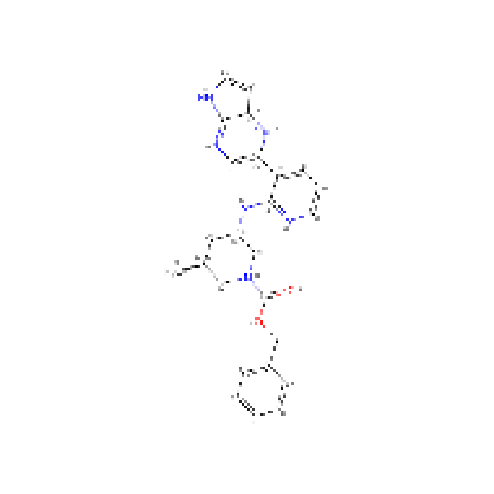 O=C(OCc1ccccc1)N1C[C@@H](Nc2ncccc2-c2cnc3[nH]ccc3n2)C[C@H](C(F)(F)F)C1